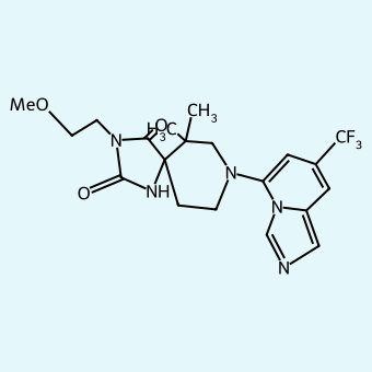 COCCN1C(=O)NC2(CCN(c3cc(C(F)(F)F)cc4cncn34)CC2(C)C)C1=O